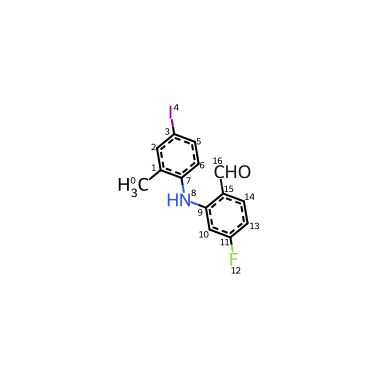 Cc1cc(I)ccc1Nc1cc(F)ccc1C=O